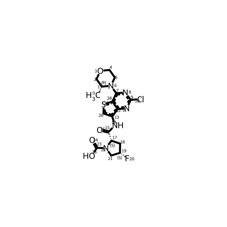 C[C@@H]1COCCN1c1nc(Cl)nc2c(NC(=O)[C@@H]3C[C@H](F)CN3C(=O)O)csc12